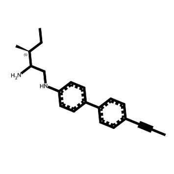 CC#Cc1ccc(-c2ccc(NCC(N)[C@@H](C)CC)cc2)cc1